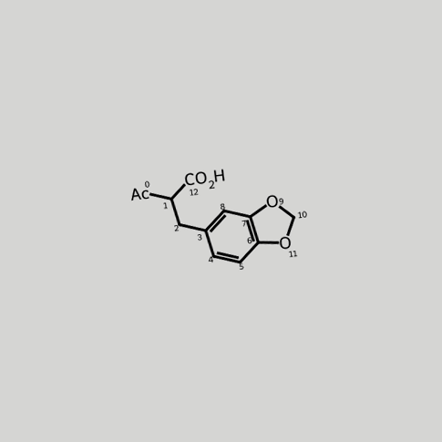 CC(=O)C(Cc1ccc2c(c1)OCO2)C(=O)O